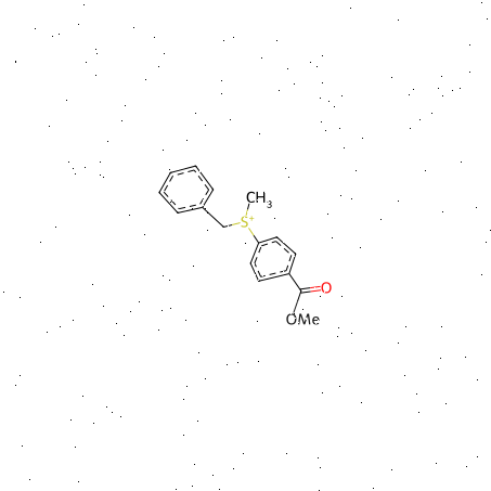 COC(=O)c1ccc([S+](C)Cc2ccccc2)cc1